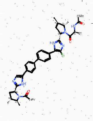 CCCC(=O)N1[C@H](c2ncc(-c3ccc(-c4ccc(-c5[nH]c([C@@H]6C[C@@H](C)[C@H](C)N6C(=O)[C@H](CC)NC(=O)OC)nc5Cl)cc4)cc3)[nH]2)C[C@@H](C)[C@@H]1C